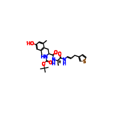 Cc1cc(O)cc(C)c1CC(NC(=O)OC(C)(C)C)C(=O)N[C@H](C)C(=O)NC=CCc1ccsc1